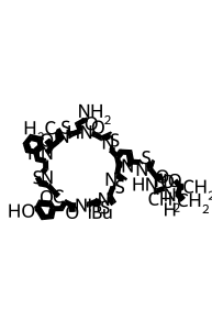 C=C(O)C(=C)NC(=O)C(=C)NC(=O)c1csc(-c2ccc3c(n2)-c2csc(n2)-c2csc(n2)C(C(C)CC)NC(=O)C(Cc2ccc(O)cc2)CC(=O)c2csc(n2)C(Cc2ccccc2)NC(=O)c2nc(sc2C)C(CC(N)=O)NC(=O)c2csc-3n2)n1